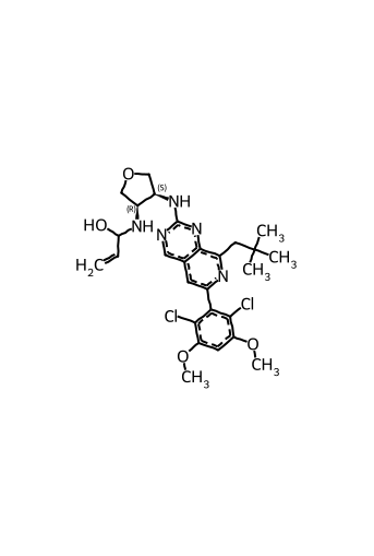 C=CC(O)N[C@H]1COC[C@H]1Nc1ncc2cc(-c3c(Cl)c(OC)cc(OC)c3Cl)nc(CC(C)(C)C)c2n1